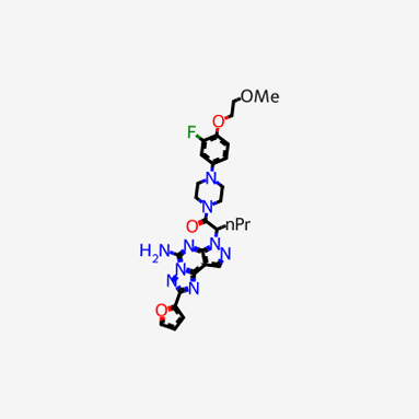 CCCC(C(=O)N1CCN(c2ccc(OCCOC)c(F)c2)CC1)n1ncc2c1nc(N)n1nc(-c3ccco3)nc21